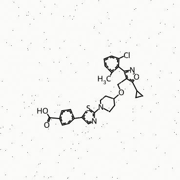 Cc1cccc(Cl)c1-c1noc(C2CC2)c1COC1CCN(c2ncc(-c3ccc(C(=O)O)cc3)s2)CC1